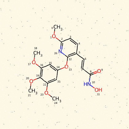 COc1ccc(/C=C/C(=O)NO)c(Oc2cc(OC)c(OC)c(OC)c2)n1